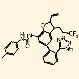 C=CC1Oc2c(NC(=O)Nc3ccc(C)cc3)cc(-c3ccccc3-c3nnn[nH]3)cc2C1CCC(F)(F)F